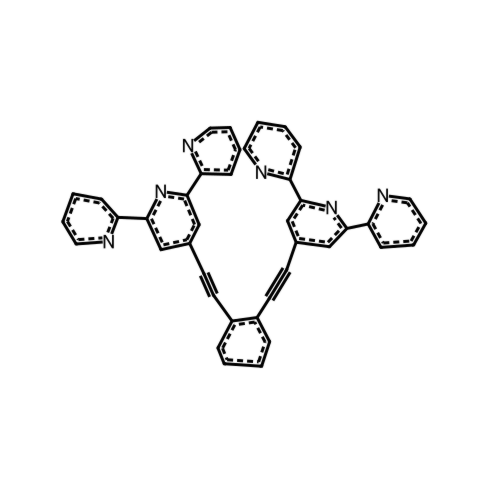 C(#Cc1ccccc1C#Cc1cc(-c2ccccn2)nc(-c2ccccn2)c1)c1cc(-c2ccccn2)nc(-c2ccccn2)c1